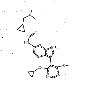 COc1ncnc(OC2CC2)c1-c1c[nH]c2nc(NC(=O)[C@@H]3C[C@H]3CN(C)C)ccc12